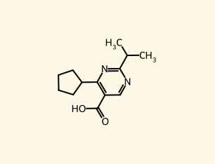 CC(C)c1ncc(C(=O)O)c(C2CCCC2)n1